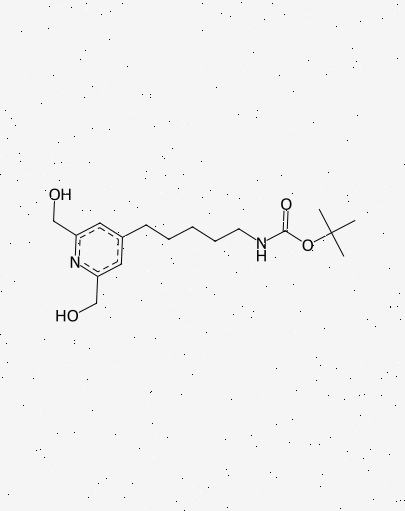 CC(C)(C)OC(=O)NCCCCCc1cc(CO)nc(CO)c1